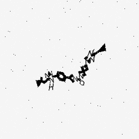 CC1(Cc2nnc(-c3ccc(C4CN(C(=O)N5CC6(CC(n7cnc(C8CC8)n7)C6)C5)C4)cc3)[nH]2)CC1